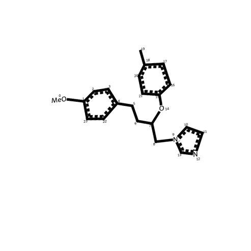 COc1ccc(CCC(Cn2ccnc2)Oc2ccc(C)cc2)cc1